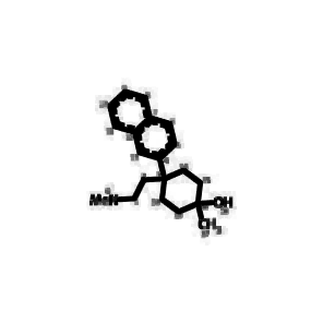 CNCCC1(c2ccc3ccccc3c2)CCC(C)(O)CC1